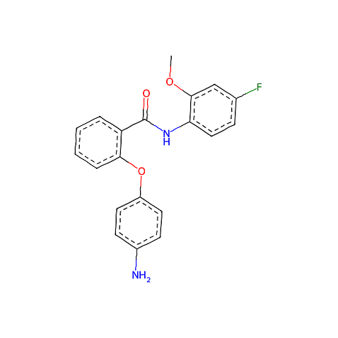 COc1cc(F)ccc1NC(=O)c1ccccc1Oc1ccc(N)cc1